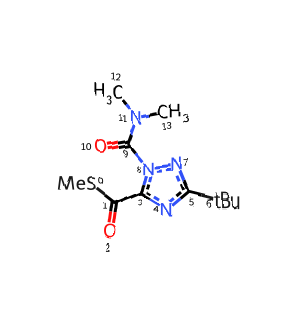 CSC(=O)c1nc(C(C)(C)C)nn1C(=O)N(C)C